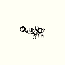 CCCN1C(=O)C(COCc2ccccc2)NC(=O)C12CCN(C)CC2